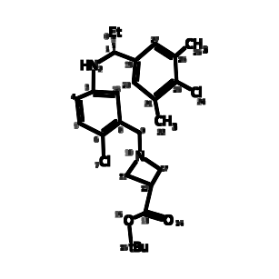 CC[C@@H](Nc1ccc(Cl)c(CN2CC(C(=O)OC(C)(C)C)C2)c1)c1cc(C)c(Cl)c(C)c1